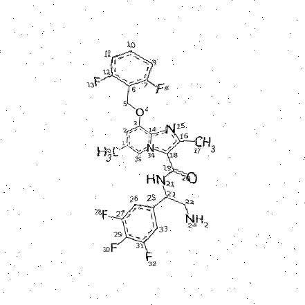 Cc1cc(OCc2c(F)cccc2F)c2nc(C)c(C(=O)NC(CN)c3cc(F)c(F)c(F)c3)n2c1